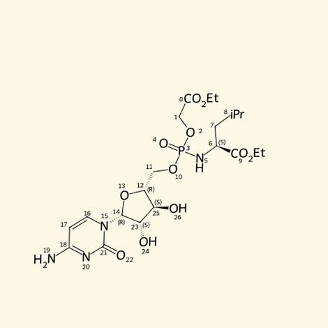 CCOC(=O)COP(=O)(N[C@@H](CC(C)C)C(=O)OCC)OC[C@H]1O[C@@H](n2ccc(N)nc2=O)[C@@H](O)[C@@H]1O